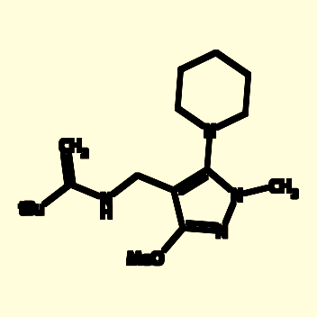 C=C(NCc1c(OC)nn(C)c1N1CCCCC1)C(C)(C)C